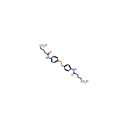 O=C(O)CCCC(=O)Nc1ccc(SSc2ccc(NC(=O)CCCC(=O)O)cc2)cc1